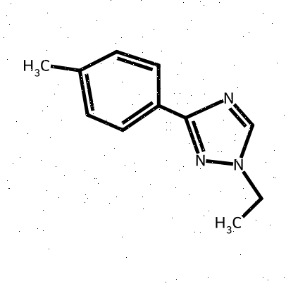 CCn1cnc(-c2ccc(C)cc2)n1